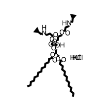 CCCCCCCCCCCCCC(=O)OC[C@H](COP(=O)(O)OCC(COC(=O)CCNCC1CC1)OC(=O)CCNCC1CC1)OC(=O)CCCCCCCCCCCCC.Cl.Cl